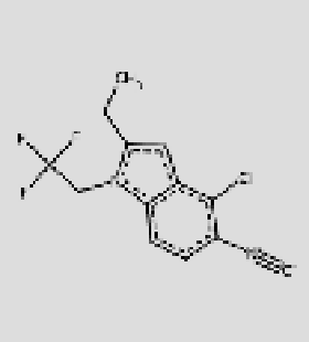 [C-]#[N+]c1ccc2c(cc(CC)n2CC(F)(F)F)c1Cl